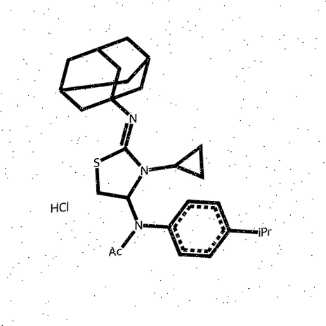 CC(=O)N(c1ccc(C(C)C)cc1)C1CSC(=NC23CC4CC(CC(C4)C2)C3)N1C1CC1.Cl